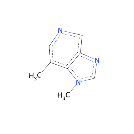 Cc1cncc2ncn(C)c12